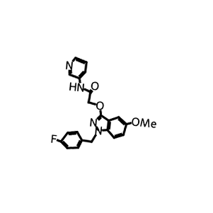 COc1ccc2c(c1)c(OCC(=O)Nc1cccnc1)nn2Cc1ccc(F)cc1